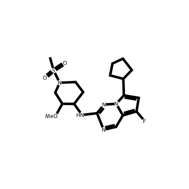 COC1CN(S(C)(=O)=O)CCC1Nc1ncc2c(F)cc(C3CCCC3)n2n1